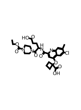 CCOC(=O)N1CCN(C(=O)C(CCC(=O)O)NC(=O)c2cc(OC3(C(=O)O)CCC3)c3cc(Cl)c(C)cc3n2)CC1